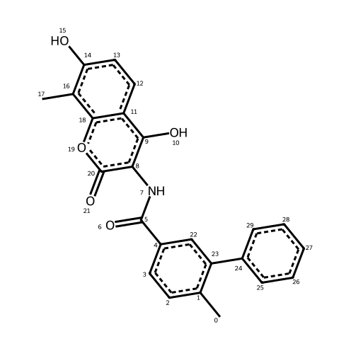 Cc1ccc(C(=O)Nc2c(O)c3ccc(O)c(C)c3oc2=O)cc1-c1ccccc1